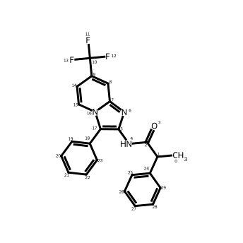 CC(C(=O)Nc1nc2cc(C(F)(F)F)ccn2c1-c1ccccc1)c1ccccc1